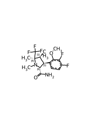 COc1c([C@H]2[C@H](C(N)=O)N(C)[C@@](C)(C(F)(F)F)[C@H]2C)ccc(F)c1F